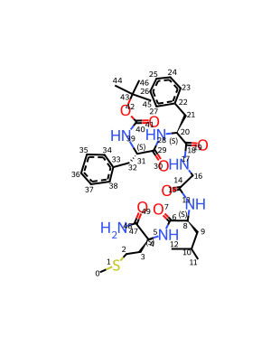 CSCC[C@H](NC(=O)[C@H](CC(C)C)NC(=O)CNC(=O)[C@H](Cc1ccccc1)NC(=O)[C@H](Cc1ccccc1)NC(=O)OC(C)(C)C)C(N)=O